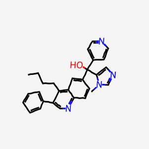 CCCCc1c(-c2ccccc2)cnc2ccc(C(O)(c3ccncc3)c3cncn3C)cc12